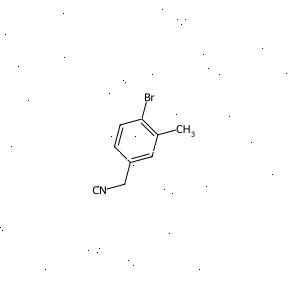 [C-]#[N+]Cc1ccc(Br)c(C)c1